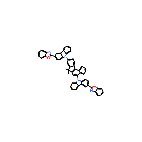 CC1(C)c2cc(-n3c4ccccc4c4cc(-c5nc6ccccc6o5)ccc43)ccc2-c2c1cc(-n1c3ccccc3c3cc(-c4nc5ccccc5o4)ccc31)c1ccccc21